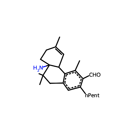 CCCCCc1cc2c(c(C)c1C=O)C1C=C(C)CCC1(N)C(C)(C)C2